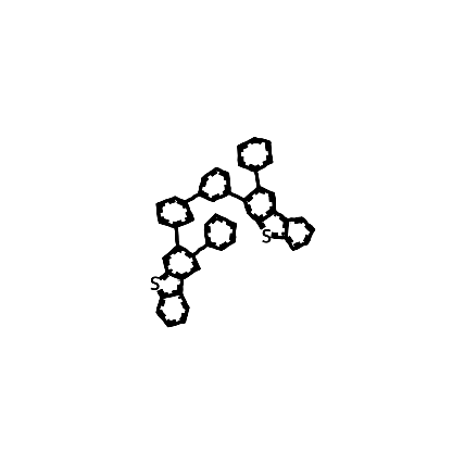 c1ccc(-c2cc3c(cc2-c2cccc(-c4cccc(-c5cc6sc7ccccc7c6cc5-c5ccccc5)c4)c2)sc2ccccc23)cc1